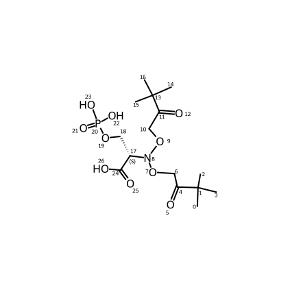 CC(C)(C)C(=O)CON(OCC(=O)C(C)(C)C)[C@@H](COP(=O)(O)O)C(=O)O